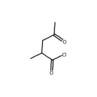 CC(=O)CC(C)C(=O)Cl